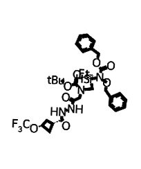 CC[Si@@H](CN(CC(=O)NNC(=O)[C@H]1C[C@@H](OC(F)(F)F)C1)C(=O)OC(C)(C)C)N(OCc1ccccc1)C(=O)OCc1ccccc1